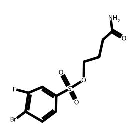 NC(=O)CCCOS(=O)(=O)c1ccc(Br)c(F)c1